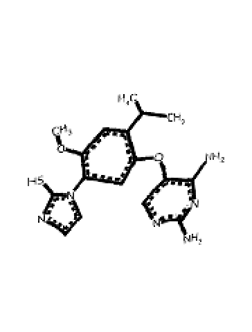 COc1cc(C(C)C)c(Oc2cnc(N)nc2N)cc1-n1ccnc1S